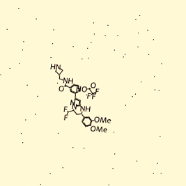 COc1ccc(C2CC(C(F)F)n3nc(-c4cccc(C(=O)NCC5CNC5)c4)cc3N2)cc1OC.O=C(O)C(F)(F)F